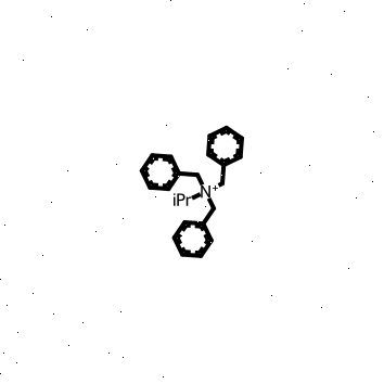 CC(C)[N+](Cc1ccccc1)(Cc1ccccc1)Cc1ccccc1